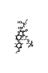 CC[C@H](O)CNc1nc2cnc(-c3ccc(OC)nc3)cc2n(CCOCC(F)(F)F)c1=O